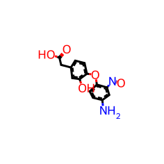 Nc1ccc(Oc2ccc(CC(=O)O)cc2O)c(N=O)c1